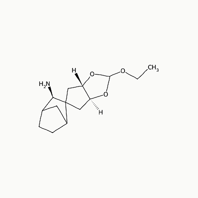 CCOC1O[C@H]2CC3(C[C@@H]2O1)C1CCC(C1)[C@H]3N